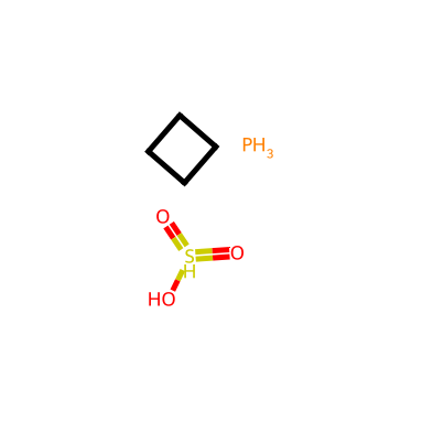 C1CCC1.O=[SH](=O)O.P